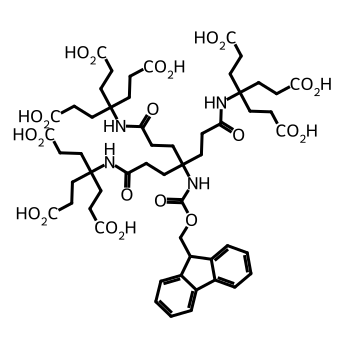 O=C(O)CCC(CCC(=O)O)(CCC(=O)O)NC(=O)CCC(CCC(=O)NC(CCC(=O)O)(CCC(=O)O)CCC(=O)O)(CCC(=O)NC(CCC(=O)O)(CCC(=O)O)CCC(=O)O)NC(=O)OCC1c2ccccc2-c2ccccc21